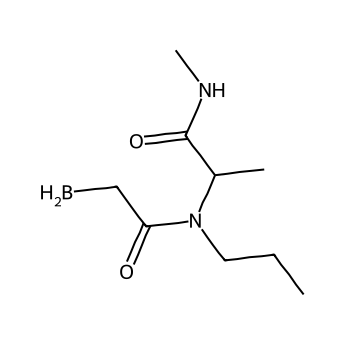 BCC(=O)N(CCC)C(C)C(=O)NC